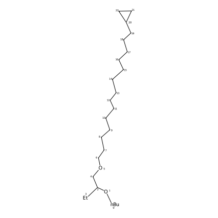 CCCCOC(CC)COCCCCCCCCCCCCCCC1CC1